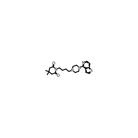 CC1(C)CC(=O)N(CCCCN2CCN(c3nccc4sccc34)CC2)C(=O)C1